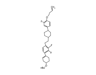 C=CCCOc1ccc(C2CCC(CCc3ccc(C4=CCC(OCCCC)CC4)c(F)c3F)CC2)cc1F